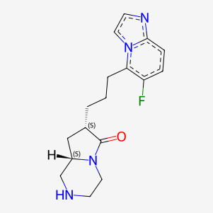 O=C1[C@@H](CCCc2c(F)ccc3nccn23)C[C@H]2CNCCN12